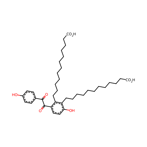 O=C(O)CCCCCCCCCCCc1c(O)ccc(C(=O)C(=O)c2ccc(O)cc2)c1CCCCCCCCCCCC(=O)O